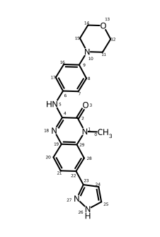 Cn1c(=O)c(Nc2ccc(N3CCOCC3)cc2)nc2ccc(-c3cc[nH]n3)cc21